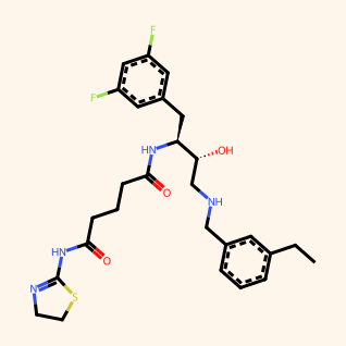 CCc1cccc(CNC[C@@H](O)[C@H](Cc2cc(F)cc(F)c2)NC(=O)CCCC(=O)NC2=NCCS2)c1